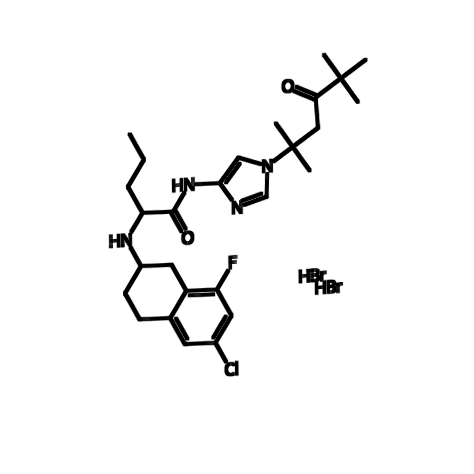 Br.Br.CCCC(NC1CCc2cc(Cl)cc(F)c2C1)C(=O)Nc1cn(C(C)(C)CC(=O)C(C)(C)C)cn1